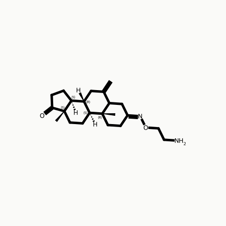 C=C1C[C@@H]2[C@H](CC[C@]3(C)C(=O)CC[C@@H]23)[C@@]2(C)CCC(=NOCCN)CC12